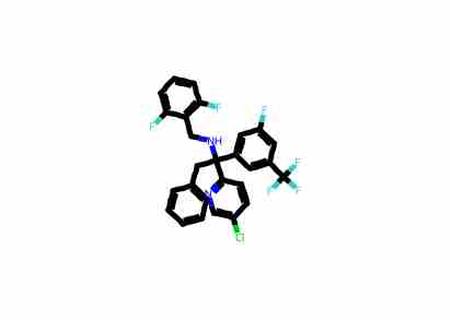 Fc1cc(C(F)(F)F)cc(C(Cc2ccccc2)(NCc2c(F)cccc2F)c2ccc(Cl)cn2)c1